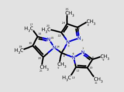 Cc1nn(C(C)(n2nc(C)c(C)c2C)n2nc(C)c(C)c2C)c(C)c1C